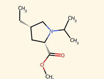 CC[C@H]1C[C@@H](C(=O)OC)N(C(C)C)C1